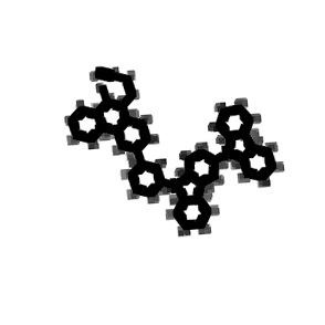 C#C/C=C\c1c(C)c2ccccc2c2cc(-c3cccc(-n4c5ccccc5c5cc(-n6c7ccccc7c7ccccc76)ccc54)c3)ccc12